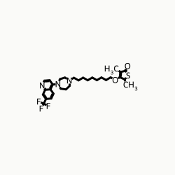 CC1=C(OCCCCCCCCCN2CCCN(c3ccnc4cc(C(F)(F)F)ccc34)CC2)C(C)SC1=O